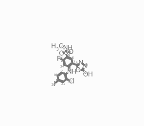 CNS(=O)(=O)c1cc(-c2nnc(O)o2)c(Nc2ccc(I)cc2Cl)cc1F